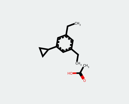 CC(=O)O.CCc1cc(CC)cc(C2CC2)c1